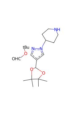 CC(C)(C)OC=O.CC1(C)OC(c2cnn(C3CCNCC3)c2)OC1(C)C